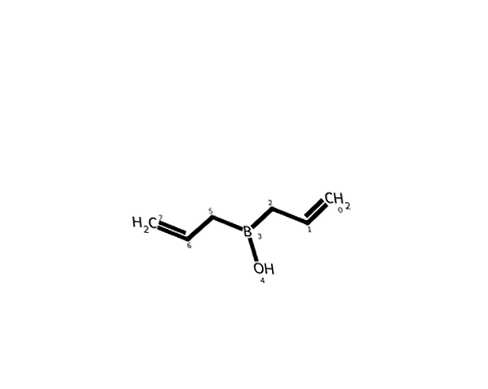 C=CCB(O)CC=C